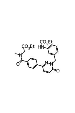 CCOC(=O)CN(C)C(=O)c1ccc(-c2ccc(=O)n(Cc3cccc(NC(=O)OCC)c3)n2)cc1